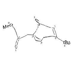 COC(=O)c1cc(C(C)(C)C)cs1